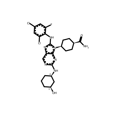 NC(=O)[C@H]1CC[C@@H](n2c(Nc3c(F)cc(Cl)cc3Cl)nc3cnc(N[C@@H]4CCC[C@H](O)C4)nc32)CC1